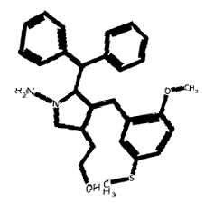 COc1ccc(SC)cc1CC1C(CCO)CN(N)C1C(c1ccccc1)c1ccccc1